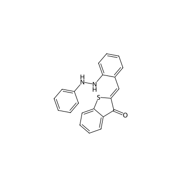 O=C1C(=Cc2ccccc2NNc2ccccc2)Sc2ccccc21